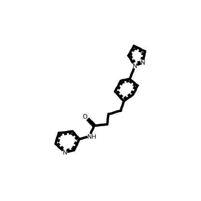 O=C(CCCc1ccc(-n2cccn2)cc1)Nc1cccnc1